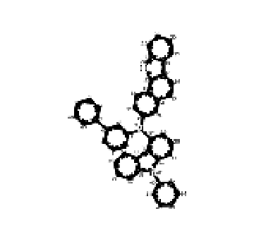 c1ccc(-c2cccc(N(c3ccc4c(ccc5c6ccccc6oc45)c3)c3cccc4c3c3ccccc3n4-c3ccccc3)c2)cc1